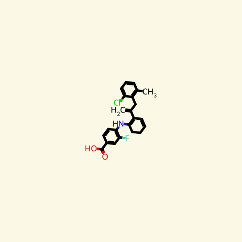 C=C(Cc1c(C)cccc1Cl)C1=C(Nc2ccc(C(=O)O)cc2F)CCC=C1